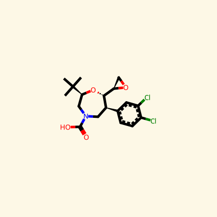 CC(C)(C)[C@@H]1CN(C(=O)O)C[C@H](c2ccc(Cl)c(Cl)c2)[C@@H]([C@H]2CO2)O1